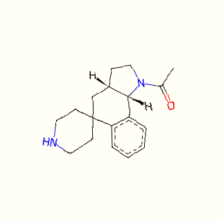 CC(=O)N1CC[C@H]2CC3(CCNCC3)c3ccccc3[C@H]21